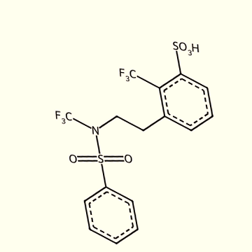 O=S(=O)(O)c1cccc(CCN(C(F)(F)F)S(=O)(=O)c2ccccc2)c1C(F)(F)F